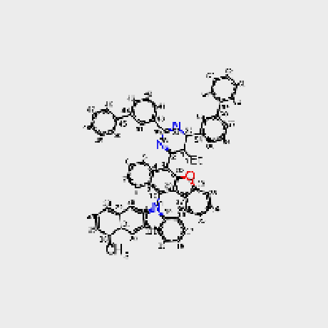 CCC1C(c2c3ccccc3c(-n3c4c(c5ccccc53)=CC3C(=CC=CC3C)C=4)c3c2oc2ccccc23)=NC(c2cccc(-c3ccccc3)c2)=NC1c1cccc(-c2ccccc2)c1